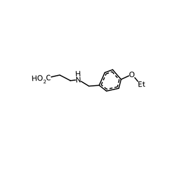 CCOc1ccc(CNCCC(=O)O)cc1